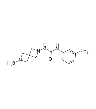 BN1CC2(C1)CN(BC(=O)Nc1cccc(C)c1)C2